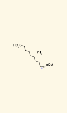 CCCCCCCC/C=C\CCCCCCCC(=O)O.P